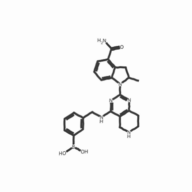 CC1Cc2c(C(N)=O)cccc2N1c1nc2c(c(NCc3cccc(B(O)O)c3)n1)CNCC2